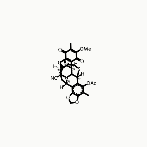 COC1=C(C)C(=O)C2=C(C1=O)[C@H]1C3[C@@H]4SCC(=O)C(=O)OC[C@@H](c5c6c(c(C)c(OC(C)=O)c54)OCO6)N3[C@@H](C#N)[C@@H](C2)N1C